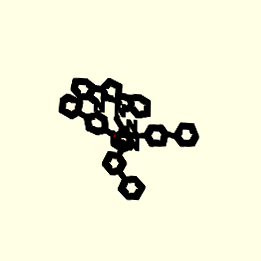 c1ccc(-c2ccc(-c3nc(Cn4c5ccccc5c5ccc6c7ccccc7n(-c7cc(-c8ccccc8)ccc7-c7ccccc7)c6c54)nc(-c4cccc(-c5ccccc5)c4)n3)cc2)cc1